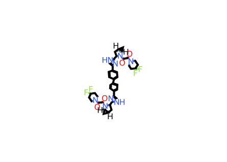 O=C(C(=O)N1C(c2nc(-c3ccc(-c4ccc(-c5c[nH]c(C6C[C@@H]7C[C@@H]7N6C(=O)C(=O)N6CCC(F)(F)CC6)n5)cc4)cc3)c[nH]2)C[C@@H]2C[C@@H]21)N1CCC(F)(F)CC1